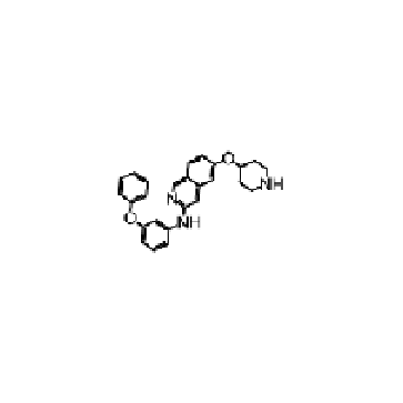 c1ccc(Oc2cccc(Nc3cc4cc(OC5CCNCC5)ccc4cn3)c2)cc1